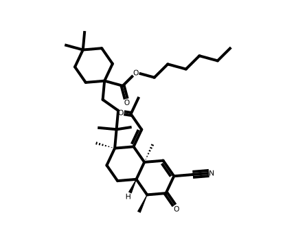 CCCCCCOC(=O)C1(CCC(C)(C)[C@]2(C)CC[C@H]3[C@H](C)C(=O)C(C#N)=C[C@]3(C)/C2=C/C(C)=O)CCC(C)(C)CC1